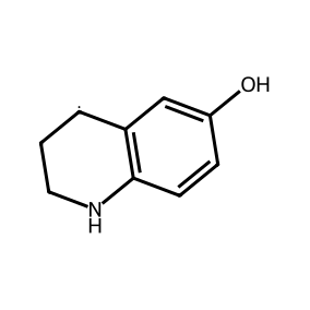 Oc1ccc2c(c1)[CH]CCN2